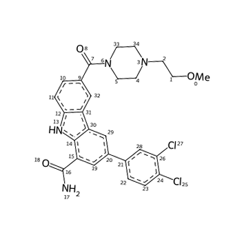 COCCN1CCN(C(=O)c2ccc3[nH]c4c(C(N)=O)cc(-c5ccc(Cl)c(Cl)c5)cc4c3c2)CC1